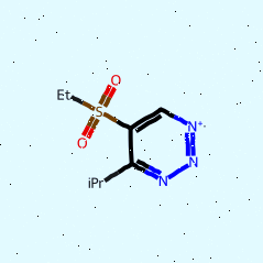 CCS(=O)(=O)C1=C[N+]=NN=C1C(C)C